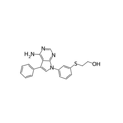 Nc1ncnc2c1c(-c1ccccc1)cn2-c1cccc(SCCO)c1